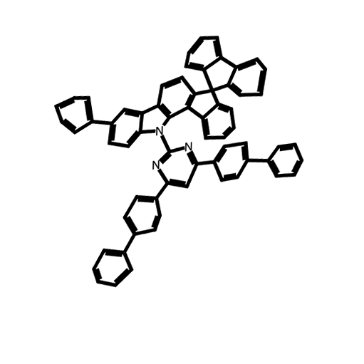 c1ccc(-c2ccc(-c3cc(-c4ccc(-c5ccccc5)cc4)nc(-n4c5ccc(-c6ccccc6)cc5c5ccc6c(c54)-c4ccccc4C64c5ccccc5-c5ccccc54)n3)cc2)cc1